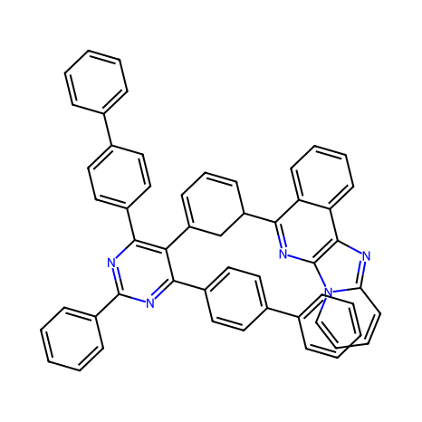 C1=CC(c2nc3c(nc4ccccn43)c3ccccc23)CC(c2c(-c3ccc(-c4ccccc4)cc3)nc(-c3ccccc3)nc2-c2ccc(-c3ccccc3)cc2)=C1